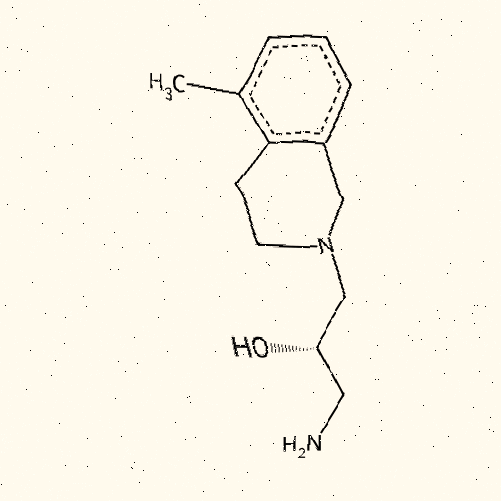 Cc1cccc2c1CCN(C[C@@H](O)CN)C2